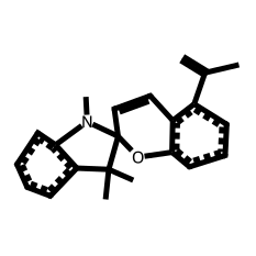 C=C(C)c1cccc2c1C=CC1(O2)N(C)c2ccccc2C1(C)C